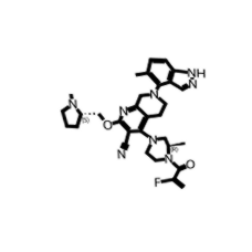 C=C(F)C(=O)N1CCN(c2c(C#N)c(OC[C@@H]3CCCN3C)nc3c2CCN(c2c(C)ccc4[nH]ncc24)C3)C[C@H]1C